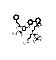 COCCCN(CCCc1nnc2cccc(-c3cccc(O[C@H]4C[C@@H](C(=O)OC)N(C(=O)OCc5ccccc5)C4)c3)n12)C(=O)OC(C)(C)C